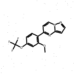 COc1cc(OC(F)(F)F)ccc1-c1ccn2nccc2n1